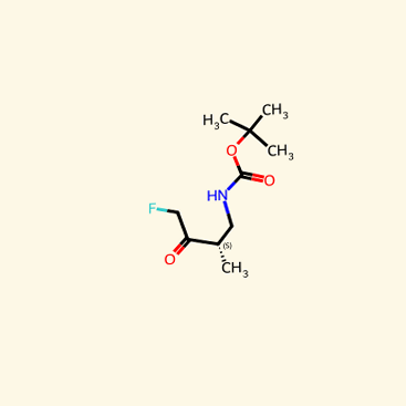 C[C@@H](CNC(=O)OC(C)(C)C)C(=O)CF